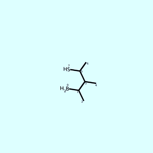 BC(C)C(C)C(C)S